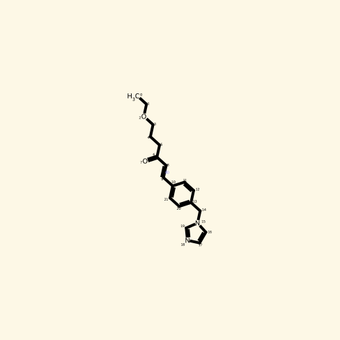 CCOCCCC(=O)/C=C/c1ccc(Cn2ccnc2)cc1